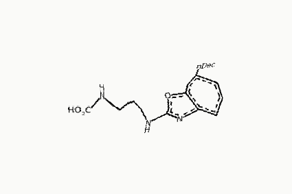 CCCCCCCCCCc1cccc2nc(NCCNC(=O)O)oc12